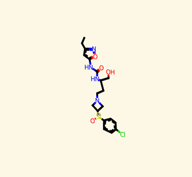 CCc1cc(NC(=O)NC(CO)CCN2CC([S@+]([O-])c3ccc(Cl)cc3)C2)on1